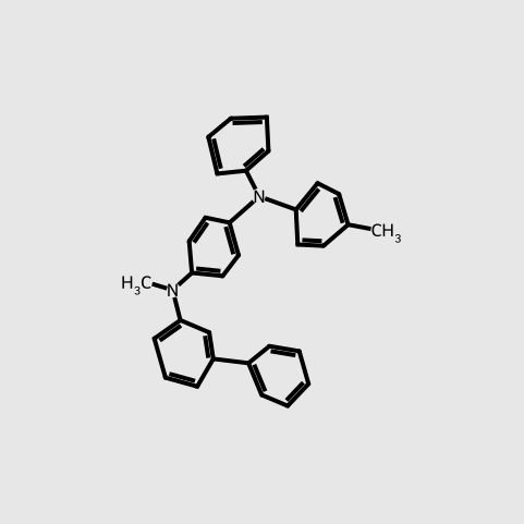 Cc1ccc(N(c2ccccc2)c2ccc(N(C)c3cccc(-c4ccccc4)c3)cc2)cc1